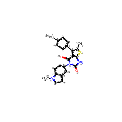 COc1ccc(-c2c(C)sc3[nH]c(=O)n(-c4ccc5c(ccn5C)c4)c(=O)c23)cc1